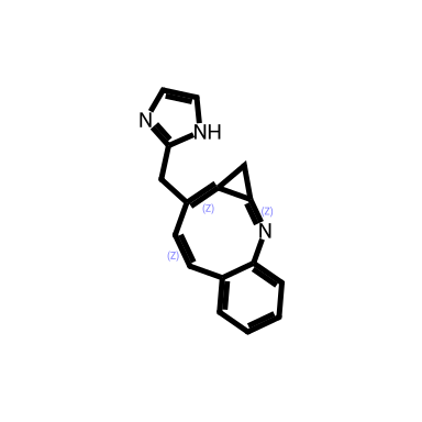 C1=C\c2ccccc2/N=C2/C/C2=C/1Cc1ncc[nH]1